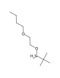 CCCCOCCO[SiH2]C(C)(C)C